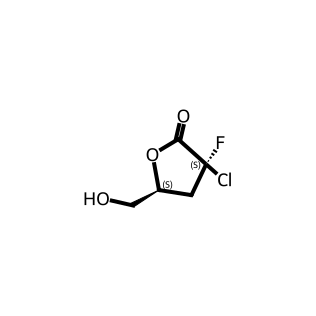 O=C1O[C@H](CO)C[C@]1(F)Cl